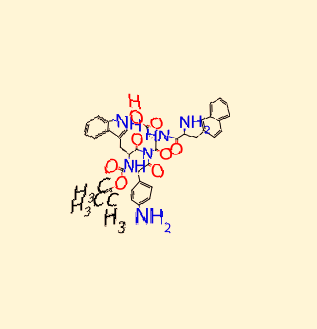 CC(C)(C)OC(=O)N[C@@H](Cc1c[nH]c2ccccc12)C(=O)N(C(=O)Cc1ccc(N)cc1)C(=O)[C@H](CC(=O)O)NC(=O)[C@@H](N)Cc1ccc2ccccc2c1